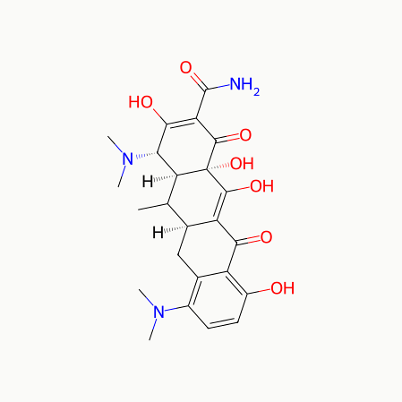 CC1[C@@H]2Cc3c(N(C)C)ccc(O)c3C(=O)C2=C(O)[C@]2(O)C(=O)C(C(N)=O)=C(O)[C@@H](N(C)C)[C@H]12